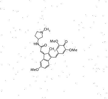 COC1=CC(=CC2=C(C)C(=CC(=O)NC3CCN(C)C3)c3cc(OC)ccc32)C=C(OC)C1=O